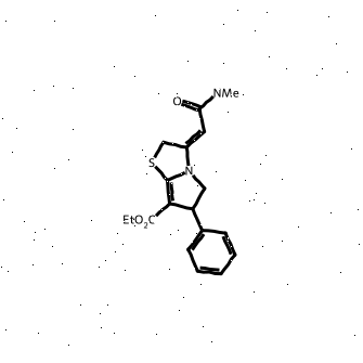 CCOC(=O)C1=C2SC/C(=C\C(=O)NC)N2CC1c1ccccc1